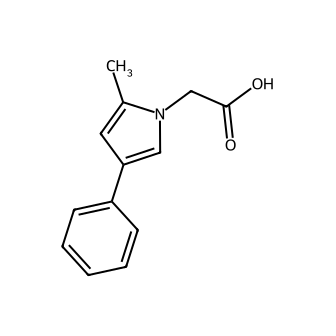 Cc1cc(-c2ccccc2)cn1CC(=O)O